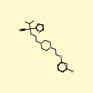 CC(C)C(C#N)(CCCN1CCN(CCOc2cccc(Br)n2)CC1)c1cccs1